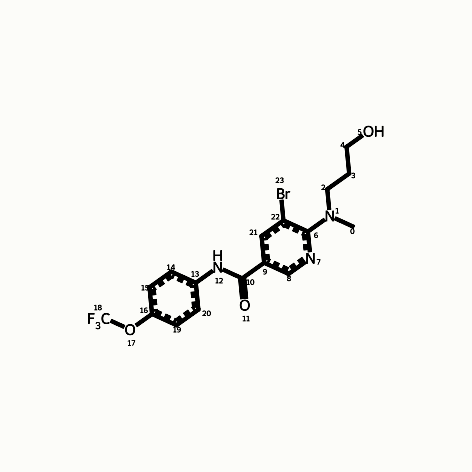 CN(CCCO)c1ncc(C(=O)Nc2ccc(OC(F)(F)F)cc2)cc1Br